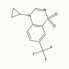 O=S1(=O)N=CN(C2CC2)c2ccc(C(F)(F)F)cc21